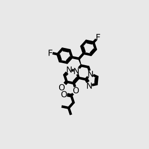 CC(C)CC(=O)Oc1c2n(ncc1=O)[C@@H](C(c1ccc(F)cc1)c1ccc(F)cc1)Cn1ccnc1-2